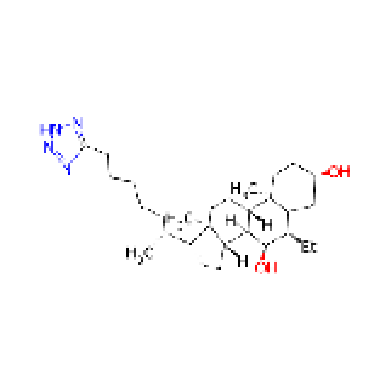 CC[C@@H]1C2C[C@H](O)CC[C@]2(C)[C@H]2CC[C@]3(C)[C@@H]([C@H](C)CCCCCc4nn[nH]n4)CC[C@H]3[C@@H]2[C@@H]1O